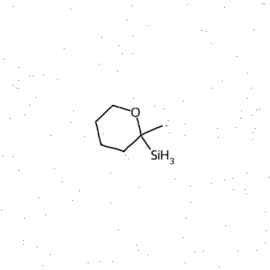 [CH2]C1([SiH3])CCCCO1